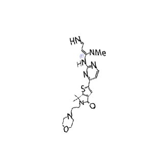 CN/C(=C\C=N)Nc1nccc(-c2cc3c(s2)C(C)(C)N(CCN2CCOCC2)C3=O)n1